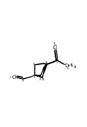 CC(=O)C12CC(C=O)(C1)C2